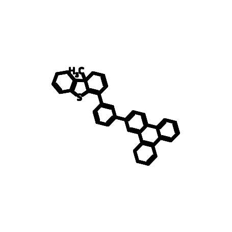 CC12CC=CC(c3cccc(-c4ccc5c(c4)c4c(c6ccccc65)C=CCC4)c3)=C1SC1=C2CCC=C1